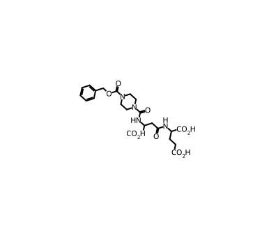 O=C(O)CCC(NC(=O)CC(NC(=O)N1CCN(C(=O)OCc2ccccc2)CC1)C(=O)O)C(=O)O